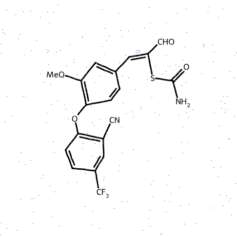 COc1cc(/C=C(/C=O)SC(N)=O)ccc1Oc1ccc(C(F)(F)F)cc1C#N